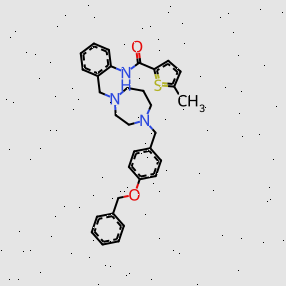 Cc1ccc(C(=O)Nc2ccccc2CN2CCCN(Cc3ccc(OCc4ccccc4)cc3)CC2)s1